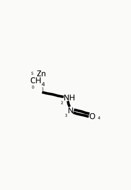 C.CNN=O.[Zn]